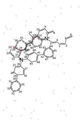 C=C/C=C\C=C\N(C(=C)/C=C\C(=C)/C(C)=C/C=C(C)/C(C)=C(/C=C\C)N(C1=CCC(c2ccccc2)C=C1)C1C=CC(c2ccccc2)=CC1)c1ccc(-c2ccccc2)cc1